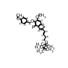 COc1ccc(COc2c(OC)cc3sc(C=CCCO[Si](C)(C)C(C)(C)C)cc3c2F)cc1